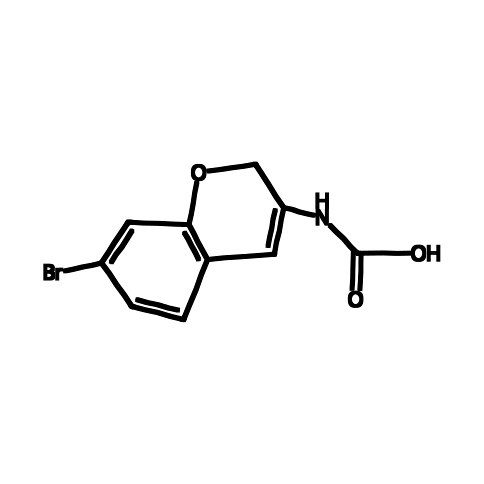 O=C(O)NC1=Cc2ccc(Br)cc2OC1